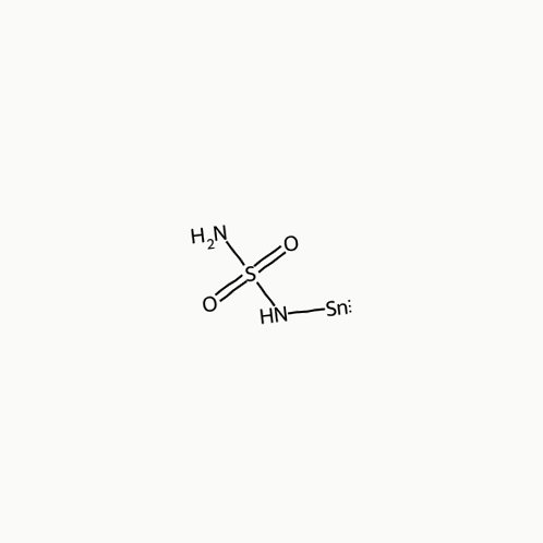 NS(=O)(=O)[NH][Sn]